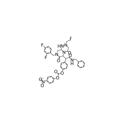 C=CCN1CC(=O)N2C(CN(Cc3ccc(F)cc3F)C(=O)C2C(C(=O)NCc2ccccc2)c2ccc(OC(=O)Oc3ccc([N+](=O)[O-])cc3)cc2)N1